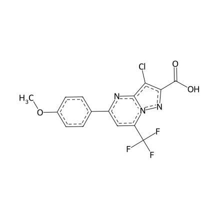 COc1ccc(-c2cc(C(F)(F)F)n3nc(C(=O)O)c(Cl)c3n2)cc1